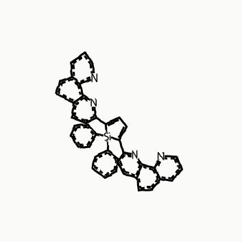 C1=C(c2ccc3ccc4cccnc4c3n2)[Si](c2ccccc2)(c2ccccc2)C(c2ccc3ccc4cccnc4c3n2)=C1